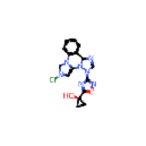 OC1(c2nc(N3C=NC4c5ccccc5N5CN(Cl)C=C5N43)no2)CC1